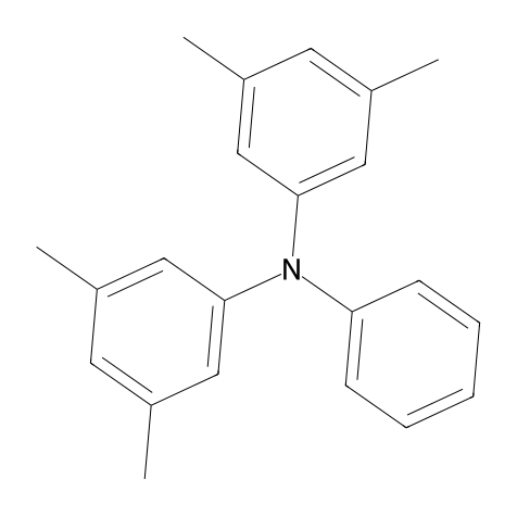 Cc1cc(C)cc(N(c2ccccc2)c2cc(C)cc(C)c2)c1